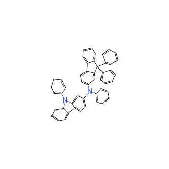 C1=CC(n2c3ccccc3c3ccc(N(c4ccccc4)c4ccc5c(c4)C(c4ccccc4)(c4ccccc4)c4ccccc4-5)cc32)=CCC1